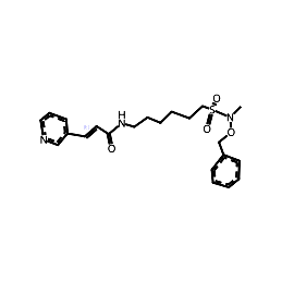 CN(OCc1ccccc1)S(=O)(=O)CCCCCCNC(=O)/C=C/c1cccnc1